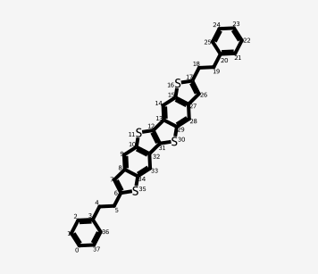 c1ccc(CCc2cc3cc4sc5c6cc7sc(CCc8ccccc8)cc7cc6sc5c4cc3s2)cc1